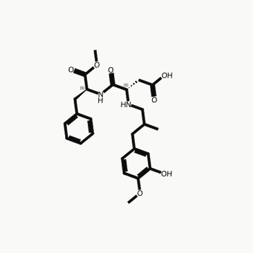 COC(=O)[C@H](Cc1ccccc1)NC(=O)[C@H](CC(=O)O)NCC(C)Cc1ccc(OC)c(O)c1